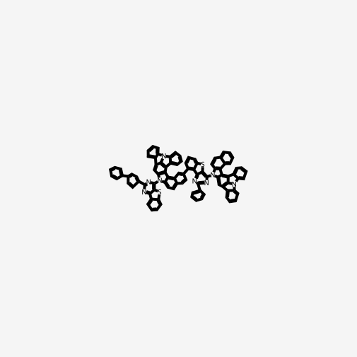 c1ccc(-c2ccc(-c3nc(-n4c5ccc6ccc(-c7cccc8sc9c(-n%10c%11ccc%12ccccc%12c%11c%11c%12c%13ccccc%13n%13c%14ccccc%14c(cc%11%10)c%12%13)nc(-c%10ccccc%10)nc9c78)cc6c5c5c6c7ccccc7n7c8ccccc8c(cc54)c67)c4sc5ccccc5c4n3)cc2)cc1